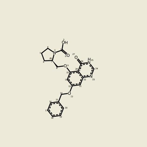 O=C(O)N1CCC[C@@H]1COc1cc(OCc2ccccc2)cc2nc[nH]c(=O)c12